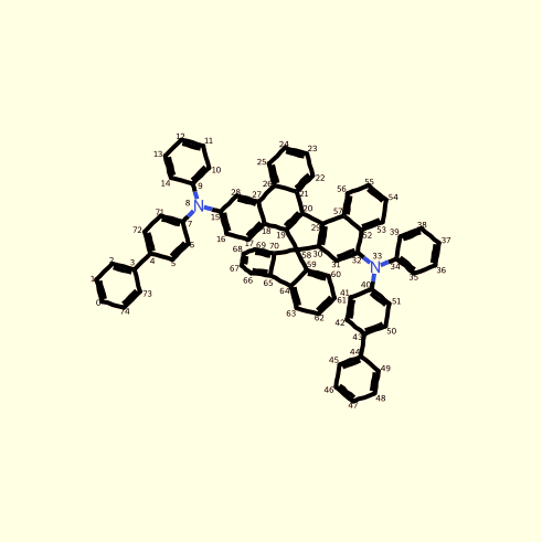 c1ccc(-c2ccc(N(c3ccccc3)c3ccc4c5c(c6ccccc6c4c3)-c3c(cc(N(c4ccccc4)c4ccc(-c6ccccc6)cc4)c4ccccc34)C53c4ccccc4-c4ccccc43)cc2)cc1